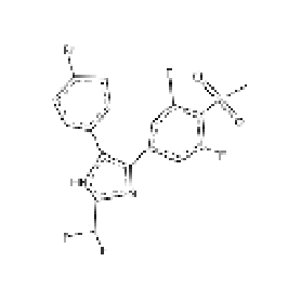 CS(=O)(=O)c1c(F)cc(-c2nc(C(F)F)[nH]c2-c2ccc(Br)cc2)cc1F